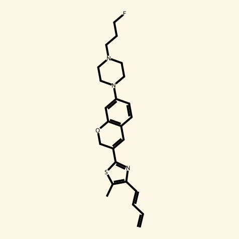 C=CC=Cc1nc(C2=Cc3ccc(N4CCN(CCCF)CC4)cc3OC2)sc1C